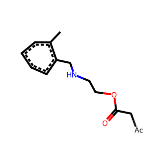 CC(=O)CC(=O)OCCNCc1ccccc1C